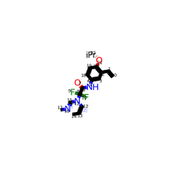 C=Cc1cc(NC(=O)C(F)(F)N(/C=C\C)/C=N/C)ccc1OC(C)C